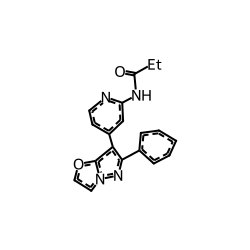 CCC(=O)Nc1cc(-c2c(-c3ccccc3)nn3ccoc23)ccn1